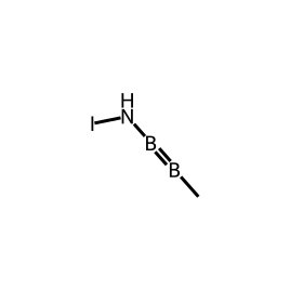 CB=BNI